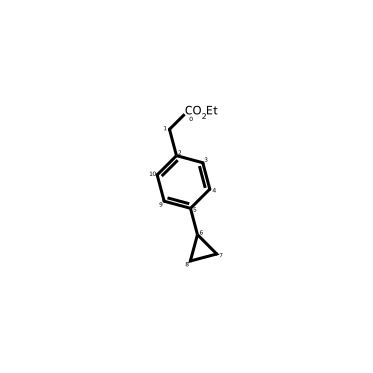 CCOC(=O)Cc1ccc(C2CC2)cc1